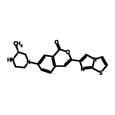 C[C@H]1CN(c2ccc3cc(-c4cn5ccsc5n4)oc(=O)c3c2)CCN1